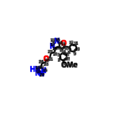 COc1ccc(-c2c(-c3ccccc3)oc3ncnc(CCCOCCc4nnn[nH]4)c23)cc1